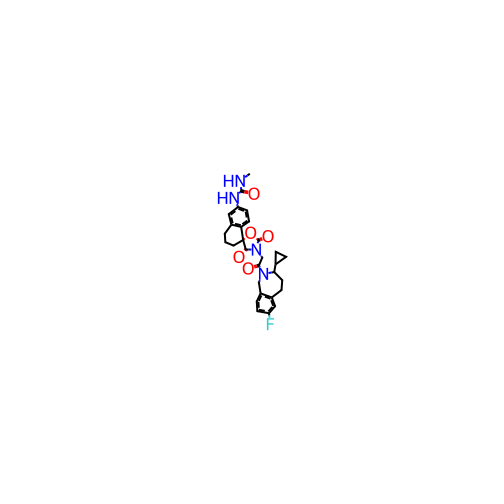 CNC(=O)Nc1ccc2c(c1)CCCC21OC(=O)N(CC(=O)N2Cc3ccc(F)cc3CCC2C2CC2)C1=O